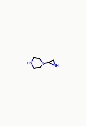 C1CN(C2CN2)CCN1